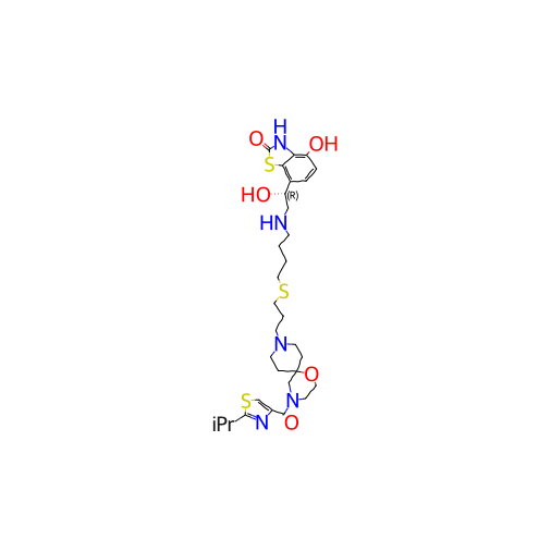 CC(C)c1nc(C(=O)N2CCOC3(CCN(CCCSCCCCNC[C@H](O)c4ccc(O)c5[nH]c(=O)sc45)CC3)C2)cs1